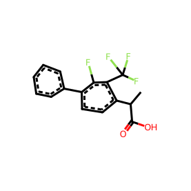 CC(C(=O)O)c1ccc(-c2ccccc2)c(F)c1C(F)(F)F